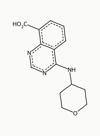 O=C(O)c1cccc2c(NC3CCOCC3)ncnc12